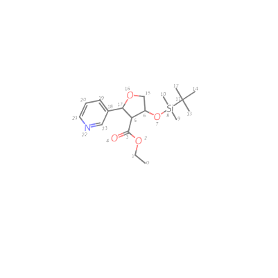 CCOC(=O)C1C(O[Si](C)(C)C(C)(C)C)COC1c1cccnc1